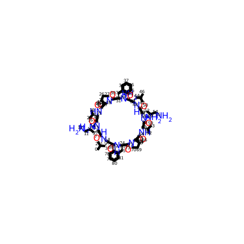 CC(C)C[C@@H]1NC(=O)[C@H](CCCN)N(N)C(=O)[C@H](C(C)C)NC(=O)[C@@H]2CCCN2C(=O)[C@@H](Cc2ccccc2)N(N)C(=O)[C@H](CC(C)C)NC(=O)[C@H](CCCN)N(N)C(=O)[C@H](C(C)C)NC(=O)[C@@H]2CCCN2C(=O)[C@@H](Cc2ccccc2)NC1=O